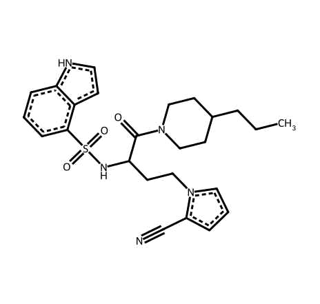 CCCC1CCN(C(=O)C(CCn2cccc2C#N)NS(=O)(=O)c2cccc3[nH]ccc23)CC1